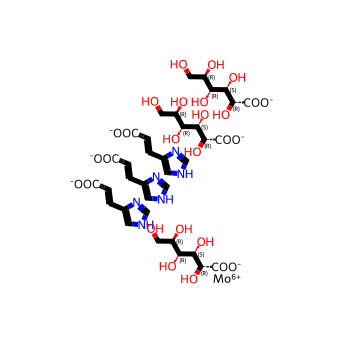 O=C([O-])C=Cc1c[nH]cn1.O=C([O-])C=Cc1c[nH]cn1.O=C([O-])C=Cc1c[nH]cn1.O=C([O-])[C@H](O)[C@@H](O)[C@H](O)[C@H](O)CO.O=C([O-])[C@H](O)[C@@H](O)[C@H](O)[C@H](O)CO.O=C([O-])[C@H](O)[C@@H](O)[C@H](O)[C@H](O)CO.[Mo+6]